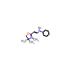 CC(=O)N(C=CC1=[N+](C)C(C)(C)CO1)c1ccccc1